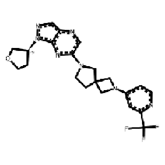 FC(F)(F)c1cc(N2CC3(CCN(c4cnc5cnn([C@H]6CCOC6)c5n4)C3)C2)ccn1